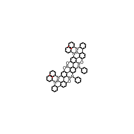 c1ccc(N2B3c4c(ccc5c4-c4c(cc6c7c4B(O5)N(c4ccccc4)c4cc5c8c(c4-7)B(O6)Oc4cc6c7c(c4-8)B(Oc4ccc8c(c4-7)B(N(c4ccccc4)c4ccccc4-8)N6c4ccccc4)N5c4ccccc4)N3c3ccccc3)-c3ccccc32)cc1